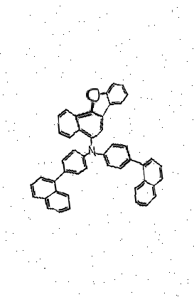 c1ccc2c(-c3ccc(N(c4ccc(-c5cccc6ccccc56)cc4)c4cc5c6ccccc6oc5c5ccccc45)cc3)cccc2c1